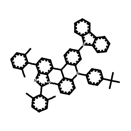 Cc1cccc(C)c1-c1ccc2c3c1nc(-c1c(C)cccc1C)n3-c1cccc3c1C2c1ccc(-n2c4ccccc4c4ccccc42)cc1N3c1ccc(C(C)(C)C)cc1